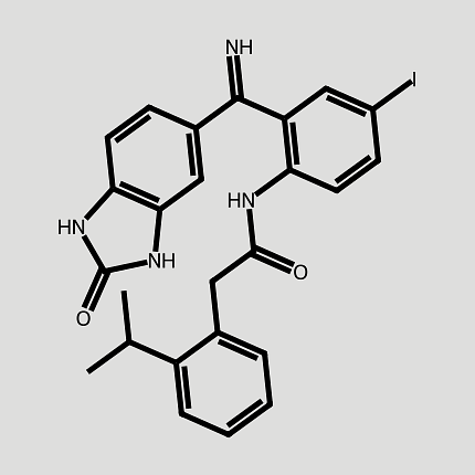 CC(C)c1ccccc1CC(=O)Nc1ccc(I)cc1C(=N)c1ccc2[nH]c(=O)[nH]c2c1